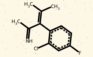 CC(=N)C(=C(C)C)c1ccc(F)cc1Cl